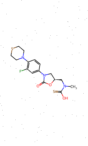 CN(C[C@@H]1CN(c2ccc(N3CCSCC3)c(F)c2)C(=O)O1)C(O)=S